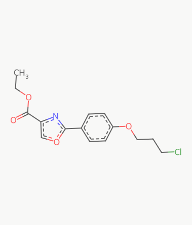 CCOC(=O)c1coc(-c2ccc(OCCCCl)cc2)n1